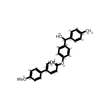 C=C(/C=C\C(=C/C)c1ccc(OC)cc1)Oc1ccc(C(O)c2ccc(C)cc2)cc1